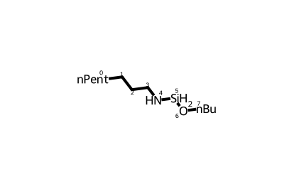 CCCCCCCCN[SiH2]OCCCC